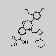 CCCc1cc(Cl)ccc1C1COc2ccc(C(O)C(=O)OC)cc2N(CC2CCC2C2CCCCO2)C1